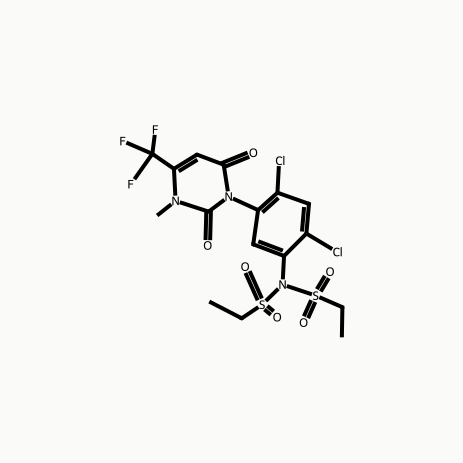 CCS(=O)(=O)N(c1cc(-n2c(=O)cc(C(F)(F)F)n(C)c2=O)c(Cl)cc1Cl)S(=O)(=O)CC